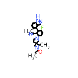 C=CC(=O)N1CC2(CCN(c3ccc(F)c(-c4c(C)ccc5[nH]ncc45)c3C#N)C2)C1C